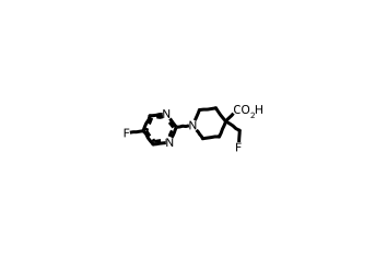 O=C(O)C1(CF)CCN(c2ncc(F)cn2)CC1